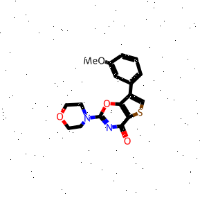 COc1cccc(-c2csc3c(=O)nc(N4CCOCC4)oc23)c1